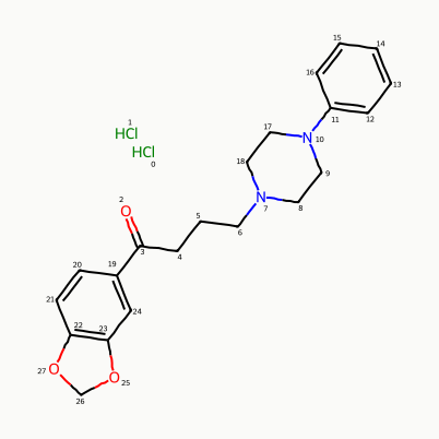 Cl.Cl.O=C(CCCN1CCN(c2ccccc2)CC1)c1ccc2c(c1)OCO2